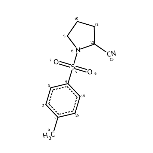 Cc1ccc(S(=O)(=O)N2CCCC2C#N)cc1